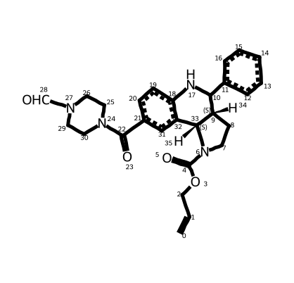 C=CCOC(=O)N1CC[C@H]2C(c3ccccc3)Nc3ccc(C(=O)N4CCN(C=O)CC4)cc3[C@H]21